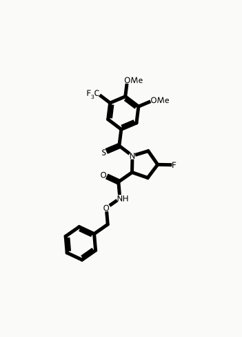 COc1cc(C(=S)N2CC(F)CC2C(=O)NOCc2ccccc2)cc(C(F)(F)F)c1OC